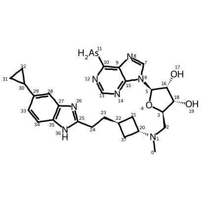 CN(C[C@H]1O[C@@H](n2cnc3c([AsH2])ncnc32)[C@H](O)[C@@H]1O)[C@H]1C[C@H](CCc2nc3cc(C4CC4)ccc3[nH]2)C1